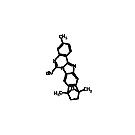 Cc1ccc2c(c1)nc(C(C)(C)C)n1c3cc4c(cc3nc21)C1(C)CCC4(C)O1